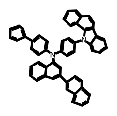 c1ccc(-c2ccc(N(c3ccc(-n4c5ccccc5c5ccc6ccccc6c54)cc3)c3cc(-c4ccc5ccccc5c4)cc4ccccc34)cc2)cc1